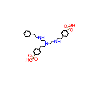 O=S(=O)(O)c1ccc(CCNCCN(CCNCCc2ccccc2)CCc2ccc(S(=O)(=O)O)cc2)cc1